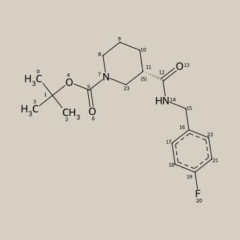 CC(C)(C)OC(=O)N1CCC[C@H](C(=O)NCc2ccc(F)cc2)C1